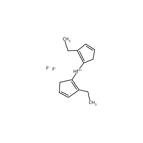 CCC1=[C]([Hf+2][C]2=C(CC)C=CC2)CC=C1.[F-].[F-]